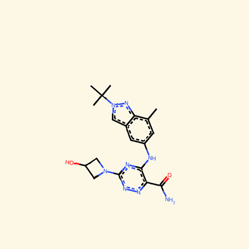 Cc1cc(Nc2nc(N3CC(O)C3)nnc2C(N)=O)cc2cn(C(C)(C)C)nc12